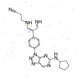 N#CCCN/C=C(\C=N)c1ccc(-n2nnc3cnc(NC4CCCC4)nc32)cc1